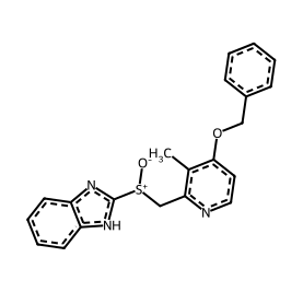 Cc1c(OCc2ccccc2)ccnc1C[S+]([O-])c1nc2ccccc2[nH]1